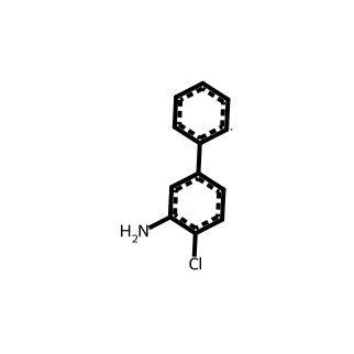 Nc1cc(-c2[c]cccc2)ccc1Cl